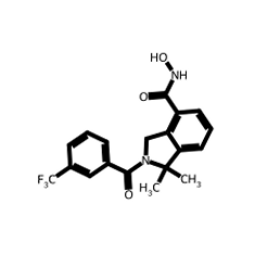 CC1(C)c2cccc(C(=O)NO)c2CN1C(=O)c1cccc(C(F)(F)F)c1